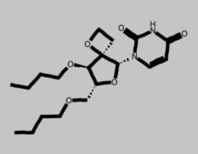 CCCCOC[C@H]1O[C@@H](n2ccc(=O)[nH]c2=O)[C@@]2(CCO2)[C@@H]1OCCCC